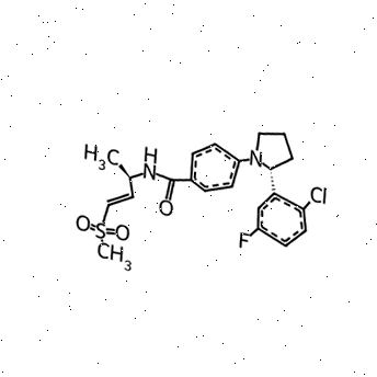 C[C@H](/C=C/S(C)(=O)=O)NC(=O)c1ccc(N2CCC[C@@H]2c2cc(F)ccc2Cl)cc1